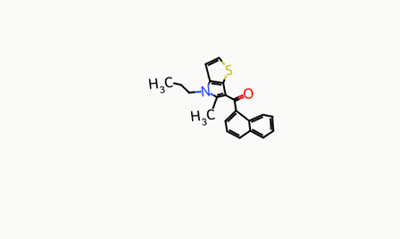 CCCn1c(C)c(C(=O)c2cccc3ccccc23)c2sccc21